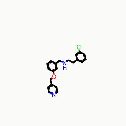 Clc1cccc(CCNCc2cccc(OCc3ccncc3)c2)c1